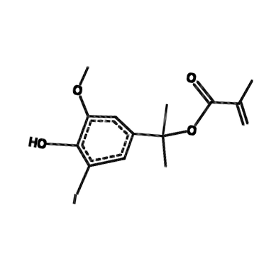 C=C(C)C(=O)OC(C)(C)c1cc(I)c(O)c(OC)c1